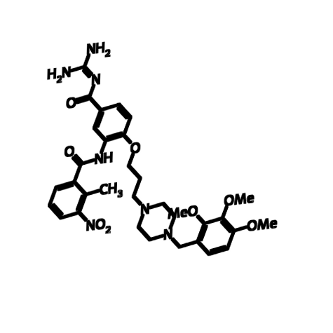 COc1ccc(CN2CCN(CCCOc3ccc(C(=O)N=C(N)N)cc3NC(=O)c3cccc([N+](=O)[O-])c3C)CC2)c(OC)c1OC